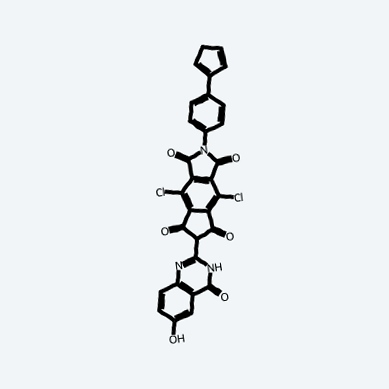 O=C1c2c(Cl)c3c(c(Cl)c2C(=O)C1c1nc2ccc(O)cc2c(=O)[nH]1)C(=O)N(c1ccc(C2=CCC=C2)cc1)C3=O